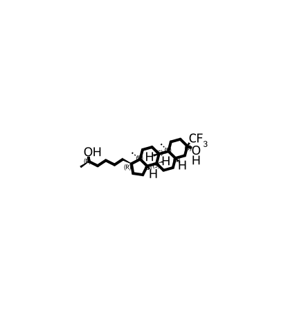 C[C@@H](O)CCCC[C@@H]1CC[C@H]2[C@@H]3CC[C@H]4C[C@](O)(C(F)(F)F)CC[C@]4(C)[C@H]3CC[C@]12C